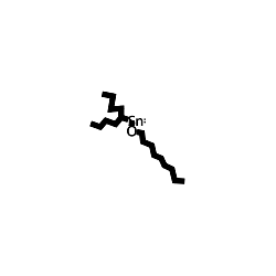 CCCCCCCCC[O][Sn][CH](CCCC)CCCC